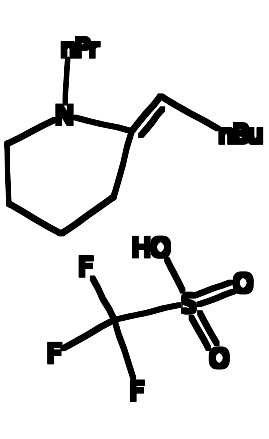 CCCCC=C1CCCCN1CCC.O=S(=O)(O)C(F)(F)F